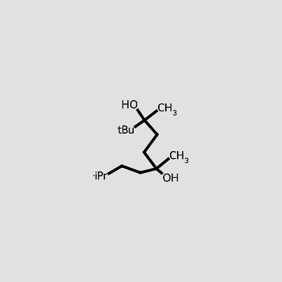 C[C](C)CCC(C)(O)CCC(C)(O)C(C)(C)C